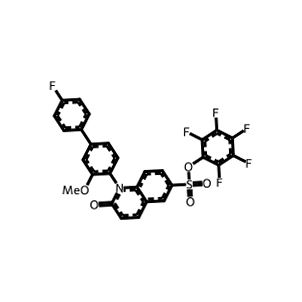 COc1cc(-c2ccc(F)cc2)ccc1-n1c(=O)ccc2cc(S(=O)(=O)Oc3c(F)c(F)c(F)c(F)c3F)ccc21